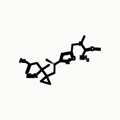 C=C=C(N)N(C)Cc1cc([C@@H](C)CC2(C(C)(CC(=C)C(C)=O)NC)CC2)no1